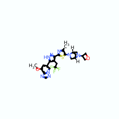 COc1cc(-c2[nH]nc(-c3nc(C)c(N4C[C@@H]5C[C@H]4CN5C4COC4)s3)c2CC(F)(F)F)cn2ncnc12